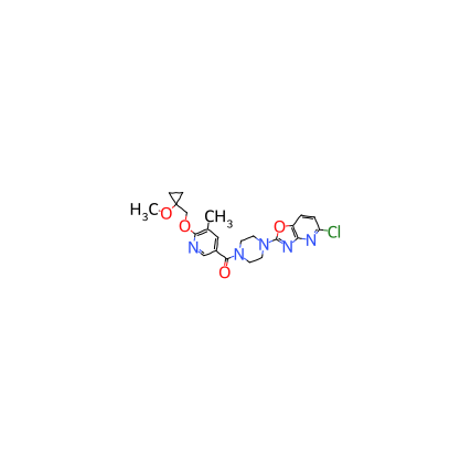 COC1(COc2ncc(C(=O)N3CCN(c4nc5nc(Cl)ccc5o4)CC3)cc2C)CC1